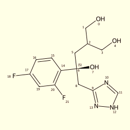 OCC(CO)C[C@](O)(Cc1nc[nH]n1)c1ccc(F)cc1F